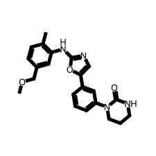 COCc1ccc(C)c(Nc2ncc(-c3cccc(N4CCCNC4=O)c3)o2)c1